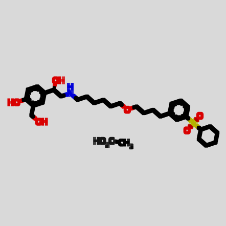 CC(=O)O.O=S(=O)(c1cccc(CCCCOCCCCCCNC[C@H](O)c2ccc(O)c(CO)c2)c1)C1CCCCC1